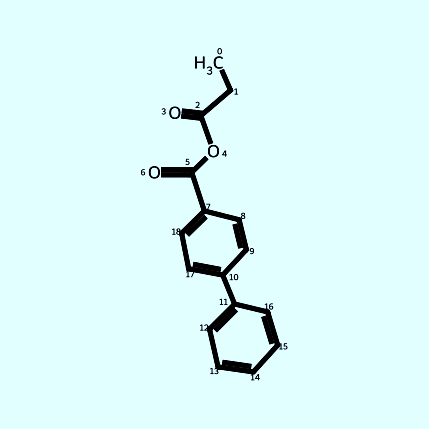 CCC(=O)OC(=O)c1ccc(-c2ccccc2)cc1